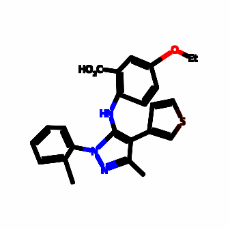 CCOc1ccc(Nc2c(-c3ccsc3)c(C)nn2-c2ccccc2C)c(C(=O)O)c1